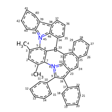 Cc1cc(C)c2c3c1-n1c(-c4ccccc4)c(-c4ccccc4)c4cc5ccccc5c(c41)B3c1cccc3c4ccccc4n-2c13